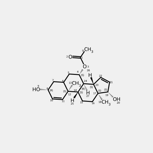 CC(=O)O[C@H]1CC2C[C@@H](O)C=C[C@]2(C)[C@H]2CC[C@]3(C)[C@@H](O)C=C[C@H]3[C@H]12